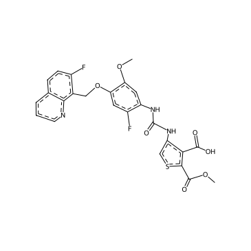 COC(=O)c1scc(NC(=O)Nc2cc(OC)c(OCc3c(F)ccc4cccnc34)cc2F)c1C(=O)O